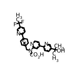 CC(C)(O)c1ccc(-c2ccnc(N(CC34CCC(c5ccc(C(C)(F)F)cn5)(CC3)CC4)C(=O)O)c2)nc1